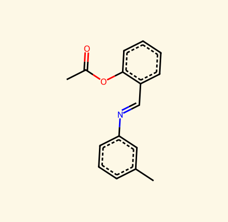 CC(=O)Oc1ccccc1C=Nc1cccc(C)c1